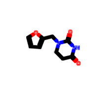 O=C1C[C]N(Cc2ccco2)C(=O)N1